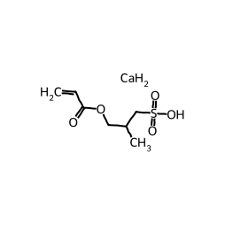 C=CC(=O)OCC(C)CS(=O)(=O)O.[CaH2]